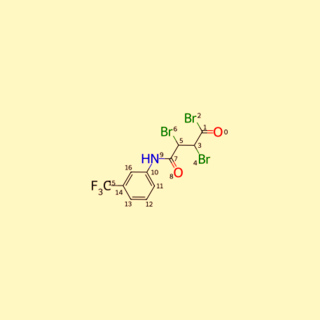 O=C(Br)C(Br)C(Br)C(=O)Nc1cccc(C(F)(F)F)c1